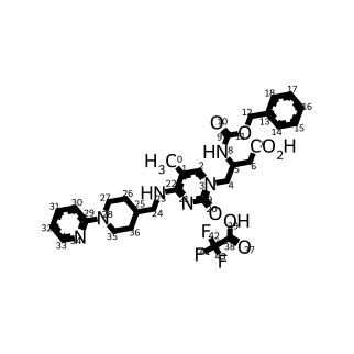 Cc1cn(CC(CC(=O)O)NC(=O)OCc2ccccc2)c(=O)nc1NCC1CCN(c2ccccn2)CC1.O=C(O)C(F)(F)F